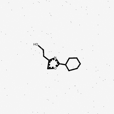 OCCc1coc(C2CCCCC2)n1